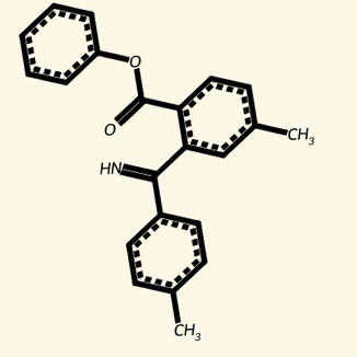 Cc1ccc(C(=N)c2cc(C)ccc2C(=O)Oc2ccccc2)cc1